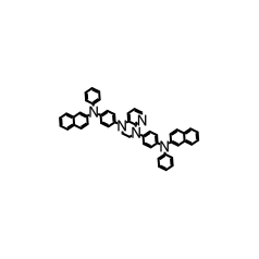 c1ccc(N(c2ccc(N3CCN(c4ccc(N(c5ccccc5)c5ccc6ccccc6c5)cc4)c4ncccc43)cc2)c2ccc3ccccc3c2)cc1